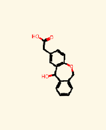 O=C(O)Cc1ccc2c(c1)C(O)c1ccccc1CO2